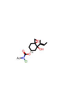 CC=C(C)C1(O)C[C@H](OC(=O)N(Cl)C(C)=O)CCC12CO2